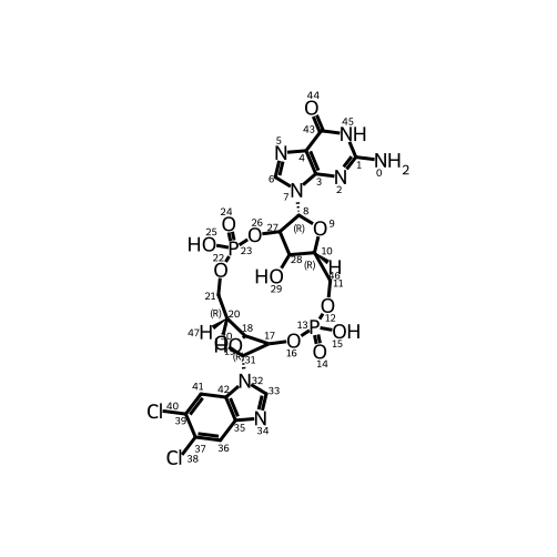 Nc1nc2c(ncn2[C@@H]2O[C@@H]3COP(=O)(O)OC4C(O)[C@@H](COP(=O)(O)OC2C3O)O[C@H]4n2cnc3cc(Cl)c(Cl)cc32)c(=O)[nH]1